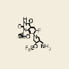 COC1=c2c(c(=O)[nH]c(=O)n2C2CC2)=CC(F)C1N1CC(CN)C(OC(F)(F)F)C1